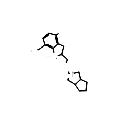 Clc1ccc(Cl)c2c1CC(CON1CC3CCCC3C1)N2